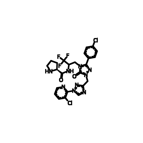 O=C(NC(Cn1c(-c2ccc(Cl)cc2)nn(Cc2ncn(-c3ncccc3Cl)n2)c1=O)C(F)(F)F)[C@@H]1CCCN1